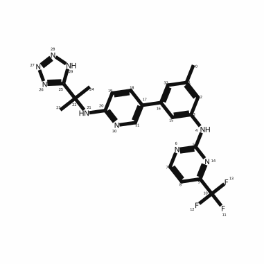 Cc1cc(Nc2nccc(C(F)(F)F)n2)cc(-c2ccc(NC(C)(C)c3nnn[nH]3)nc2)c1